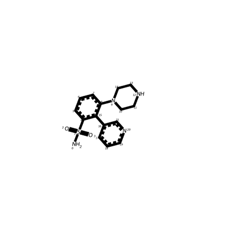 NS(=O)(=O)c1cccc(N2CCNCC2)c1-c1cccnc1